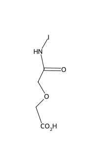 O=C(O)COCC(=O)NI